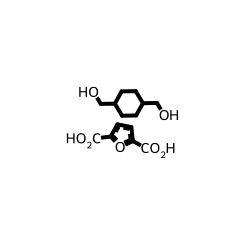 O=C(O)c1ccc(C(=O)O)o1.OCC1CCC(CO)CC1